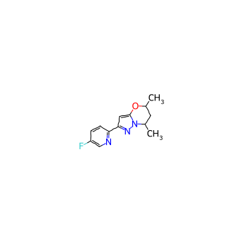 CC1CC(C)n2nc(-c3ccc(F)cn3)cc2O1